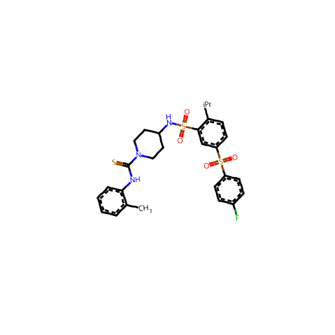 Cc1ccccc1NC(=S)N1CCC(NS(=O)(=O)c2cc(S(=O)(=O)c3ccc(F)cc3)ccc2C(C)C)CC1